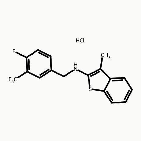 Cc1c(NCc2ccc(F)c(C(F)(F)F)c2)sc2ccccc12.Cl